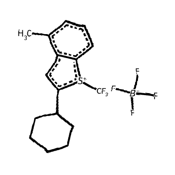 Cc1cccc2c1cc(C1CCCCC1)[s+]2C(F)(F)F.F[B-](F)(F)F